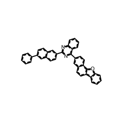 c1ccc(-c2ccc3cc(-c4nc(-c5ccc6c(ccc7c8ccccc8oc67)c5)c5ccccc5n4)ccc3c2)cc1